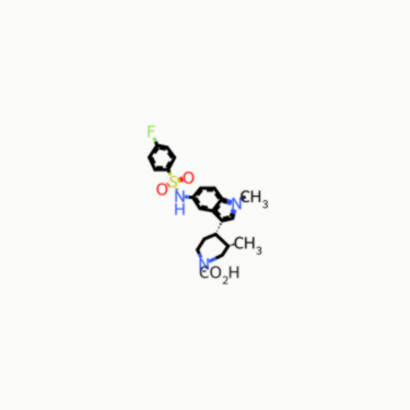 C[C@@H]1CN(C(=O)O)CC[C@@H]1c1cn(C)c2ccc(NS(=O)(=O)c3ccc(F)cc3)cc12